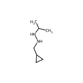 CC(C)NNCC1CC1